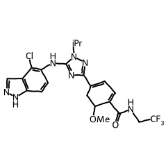 COC1CC(c2nc(Nc3ccc4[nH]ncc4c3Cl)n(C(C)C)n2)=CC=C1C(=O)NCC(F)(F)F